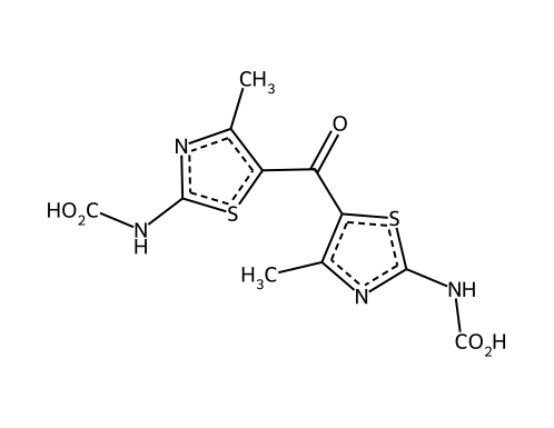 Cc1nc(NC(=O)O)sc1C(=O)c1sc(NC(=O)O)nc1C